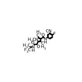 Cc1c(C(=O)Nc2ccc(F)c(C#N)c2)c(C)n(C)c1C(=O)C(=O)N[C@@H](C)C(F)(F)F